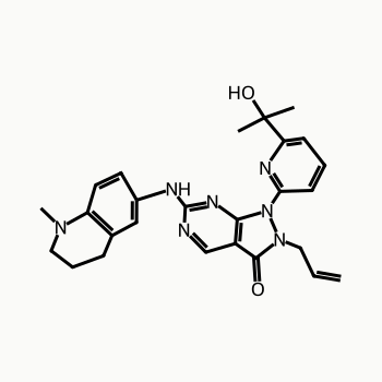 C=CCn1c(=O)c2cnc(Nc3ccc4c(c3)CCCN4C)nc2n1-c1cccc(C(C)(C)O)n1